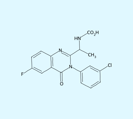 CC(NC(=O)O)c1nc2ccc(F)cc2c(=O)n1-c1cccc(Cl)c1